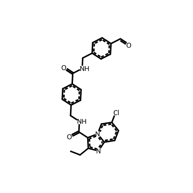 CCc1nc2ccc(Cl)cn2c1C(=O)NCc1ccc(C(=O)NCc2ccc(C=O)cc2)cc1